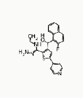 C=CN/C(=N\N)c1sc(-c2ccncc2)cc1C(O)c1c(F)ccc2ccccc12